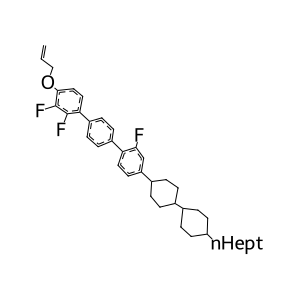 C=CCOc1ccc(-c2ccc(-c3ccc(C4CCC(C5CCC(CCCCCCC)CC5)CC4)cc3F)cc2)c(F)c1F